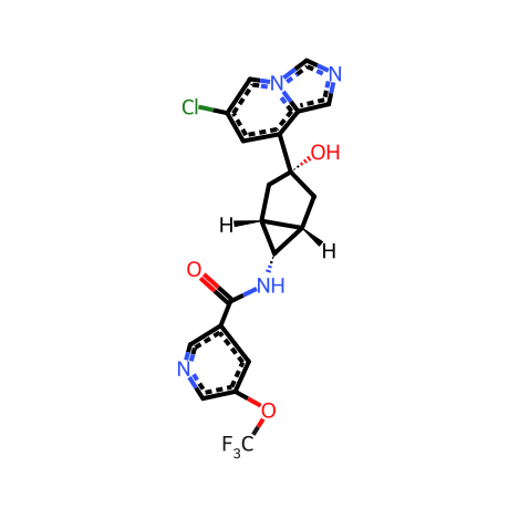 O=C(N[C@@H]1[C@@H]2C[C@@](O)(c3cc(Cl)cn4cncc34)C[C@@H]21)c1cncc(OC(F)(F)F)c1